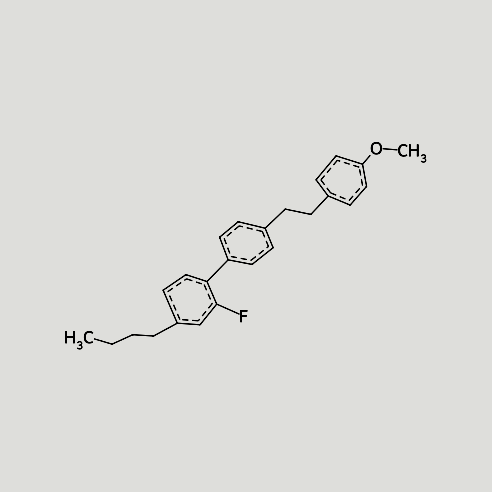 CCCCc1ccc(-c2ccc(CCc3ccc(OC)cc3)cc2)c(F)c1